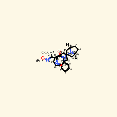 CC(C)ON=C(C(=O)O)c1nc2ccccc2n([C@H]2C[C@H]3CC[C@@H](C2)N3C2CC3CCCCC(C3)C2)c1=O